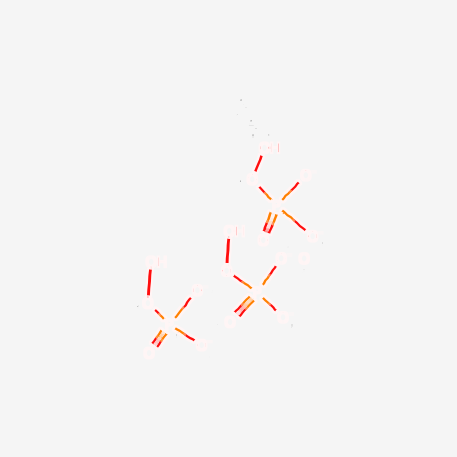 O=P([O-])([O-])OO.O=P([O-])([O-])OO.O=P([O-])([O-])OO.[Al+3].[Al+3].[O]